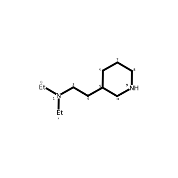 CCN(CC)CCC1CCCNC1